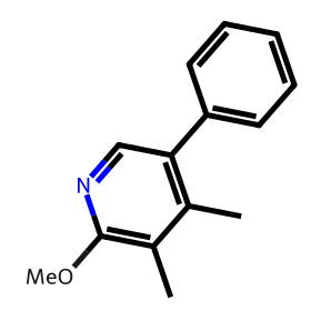 COc1ncc(-c2ccccc2)c(C)c1C